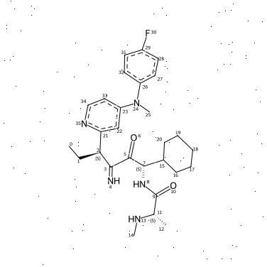 CC[C@H](C(=N)C(=O)[C@@H](NC(=O)[C@H](C)NC)C1CCCCC1)c1cc(N(C)c2ccc(F)cc2)ccn1